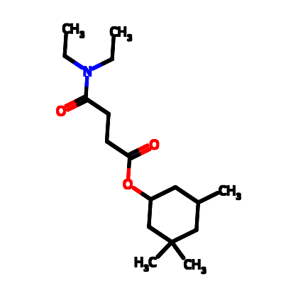 CCN(CC)C(=O)CCC(=O)OC1CC(C)CC(C)(C)C1